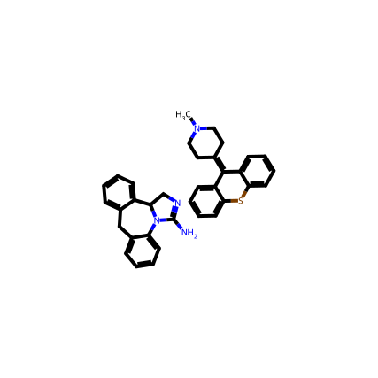 CN1CCC(=C2c3ccccc3Sc3ccccc32)CC1.NC1=NCC2c3ccccc3Cc3ccccc3N12